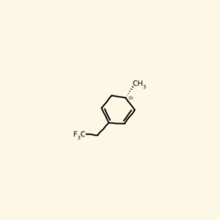 C[C@@H]1C=CC(CC(F)(F)F)=CC1